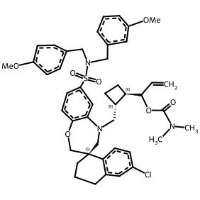 C=CC(OC(=O)N(C)C)[C@@H]1CC[C@H]1CN1C[C@@]2(CCCc3cc(Cl)ccc32)COc2ccc(S(=O)(=O)N(Cc3ccc(OC)cc3)Cc3cccc(OC)c3)cc21